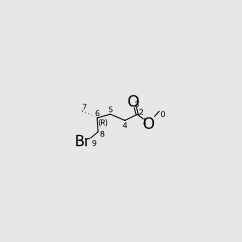 COC(=O)CC[C@@H](C)CBr